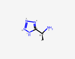 C[C@H](N)c1nnn[nH]1